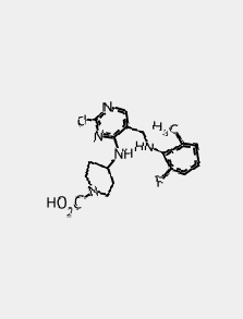 Cc1cccc(F)c1NCc1cnc(Cl)nc1NC1CCN(C(=O)O)CC1